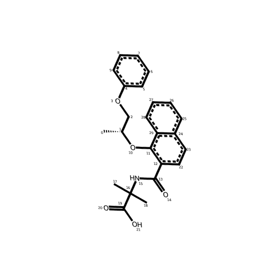 C[C@H](COc1ccccc1)Oc1c(C(=O)NC(C)(C)C(=O)O)ccc2ccccc12